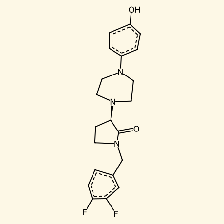 O=C1[C@H](N2CCN(c3ccc(O)cc3)CC2)CCN1Cc1ccc(F)c(F)c1